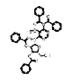 O=C(O[C@@H]1[C@H](OC(=O)c2ccccc2)[C@H](Nc2ncnc(N(C(=O)c3ccccc3)C(=O)c3ccccc3)c2NS)O[C@@H]1CO)c1ccccc1